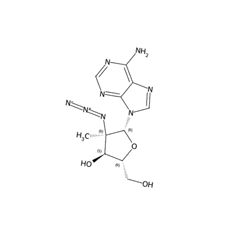 C[C@@]1(N=[N+]=[N-])[C@H](O)[C@@H](CO)O[C@H]1n1cnc2c(N)ncnc21